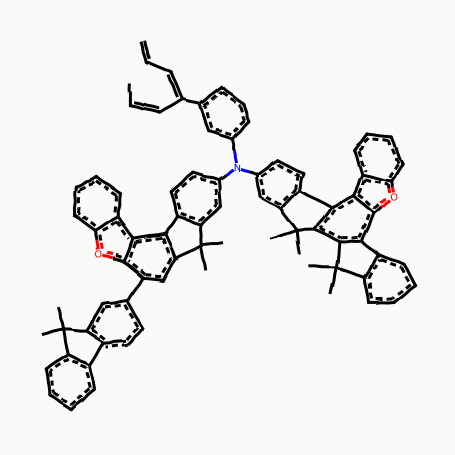 C=C/C=C(\C=C/C)c1cccc(N(c2ccc3c(c2)C(C)(C)c2cc(-c4ccc5c(c4)C(C)(C)c4ccccc4-5)c4oc5ccccc5c4c2-3)c2ccc3c(c2)C(C)(C)c2c4c(c5oc6ccccc6c5c2-3)-c2ccccc2C4(C)C)c1